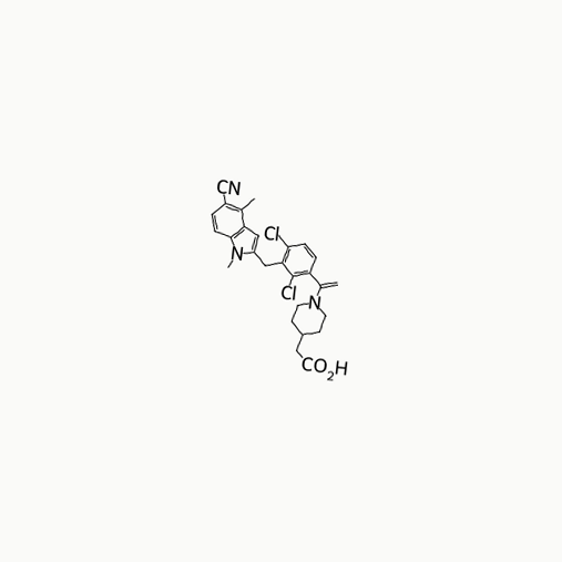 C=C(c1ccc(Cl)c(Cc2cc3c(C)c(C#N)ccc3n2C)c1Cl)N1CCC(CC(=O)O)CC1